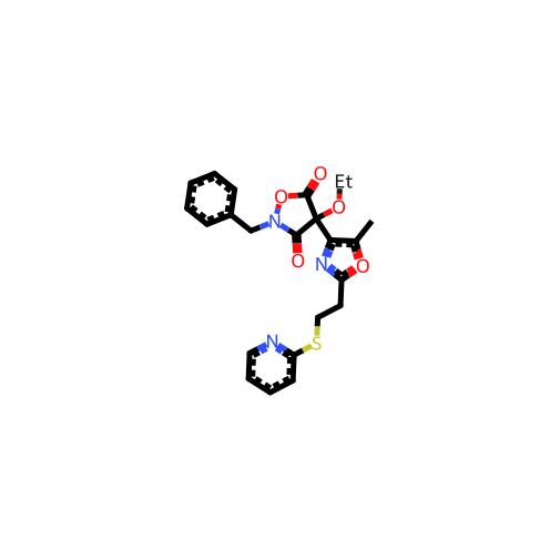 CCOC1(c2nc(CCSc3ccccn3)oc2C)C(=O)ON(Cc2ccccc2)C1=O